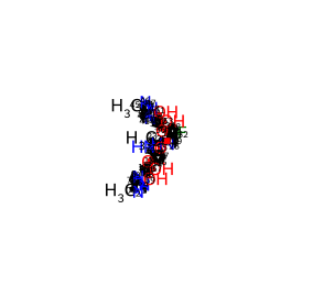 Cc1ncnc2c1ccn2C1CC(Oc2cccc3c2CNC(C)C(CC2NCCc4c(F)ccc(OC5CC(n6ccc7c(C)ncnc76)C(O)C5O)c42)O3)C(O)C1O